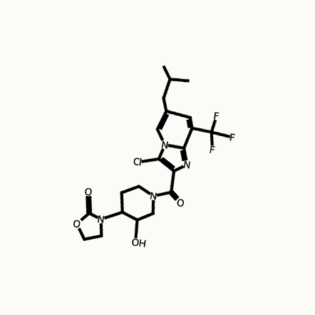 CC(C)Cc1cc(C(F)(F)F)c2nc(C(=O)N3CCC(N4CCOC4=O)C(O)C3)c(Cl)n2c1